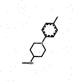 [CH2]c1ccc(N2CCC(NC)CC2)cc1